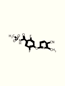 Cc1nc(Oc2cc(F)c(C(=O)NS(C)(=O)=O)cc2F)ccc1C#N